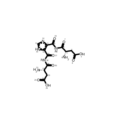 N[C@@H](CC(=O)O)C(=O)NC(=O)c1nc[nH]c1C(=O)NC(=O)[C@@H](N)CC(=O)O